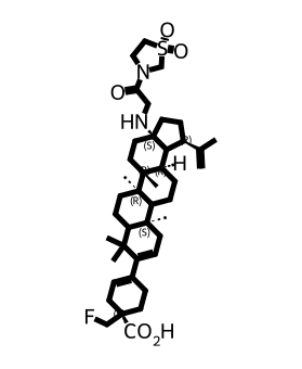 C=C(C)[C@@H]1CC[C@]2(NCC(=O)N3CCS(=O)(=O)C3)CC[C@]3(C)[C@H](CCC4[C@@]5(C)CC=C(C6=CC[C@](CF)(C(=O)O)CC6)C(C)(C)C5CC[C@]43C)C12